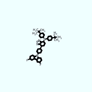 CC(C)(C)c1ccc(N(c2ccc(C(C)(C)C)cc2)c2ccc(-c3ccc(-n4c5ccc(F)cc5c5cc(F)ccc54)cc3)c3nsnc23)cc1